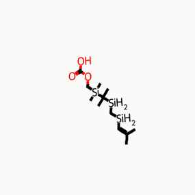 CC(C)=C[SiH2]C[SiH2]C(C)(C)[Si](C)(C)COC(=O)O